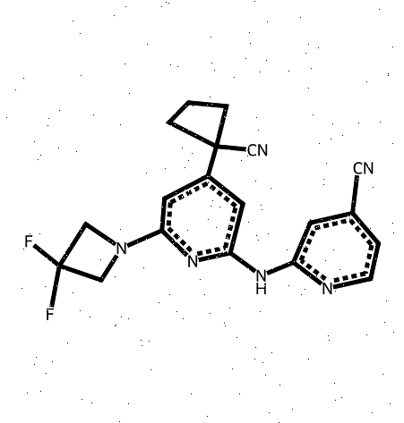 N#Cc1ccnc(Nc2cc(C3(C#N)CCC3)cc(N3CC(F)(F)C3)n2)c1